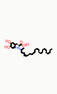 C=C(CC/C=C\C/C=C\C/C=C\C/C=C\C/C=C\C/C=C\CC)N[C@@H](Cc1ccc(O)c(O)c1)C(=O)O